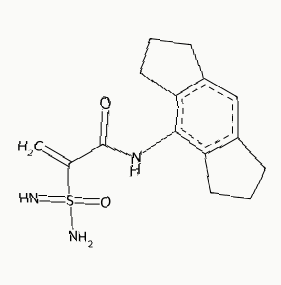 C=C(C(=O)Nc1c2c(cc3c1CCC3)CCC2)S(=N)(N)=O